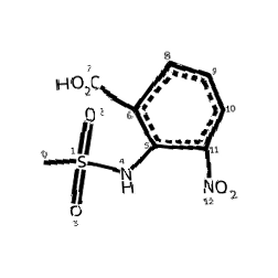 CS(=O)(=O)Nc1c(C(=O)O)cccc1[N+](=O)[O-]